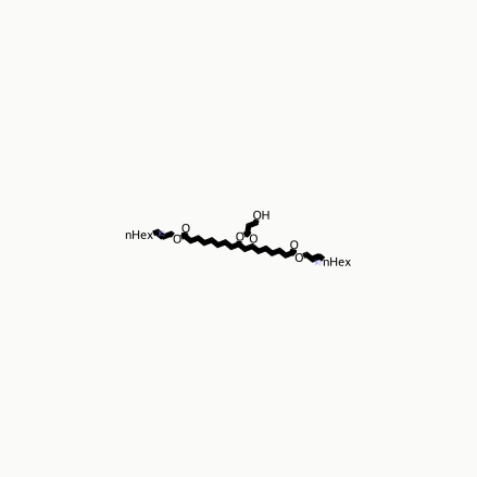 CCCCCC/C=C/COC(=O)CCCCCCCC(CCCCCCCC(=O)OC/C=C/CCCCCC)OC(=O)CCO